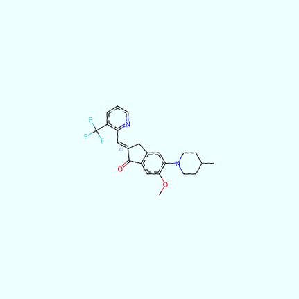 COc1cc2c(cc1N1CCC(C)CC1)C/C(=C\c1ncccc1C(F)(F)F)C2=O